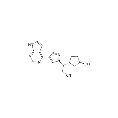 N#CCC([C@@H]1CC[C@@H](O)C1)n1cc(-c2ncnc3[nH]ccc23)cn1